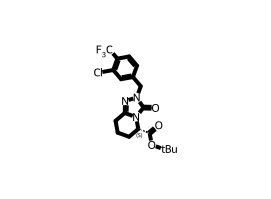 CC(C)(C)OC(=O)[C@@H]1CCCc2nn(Cc3ccc(C(F)(F)F)c(Cl)c3)c(=O)n21